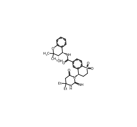 CCC1(CC)CC(=O)N([C@@H]2CCS(=O)(=O)c3ccc(C(=O)N[C@@H]4c5ccccc5OC(C)(C)[C@H]4O)cc32)C(=N)N1